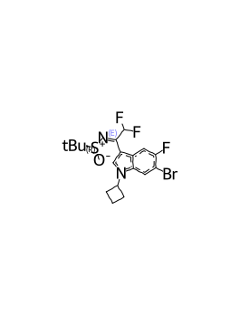 CC(C)(C)[S@+]([O-])/N=C(\c1cn(C2CCC2)c2cc(Br)c(F)cc12)C(F)F